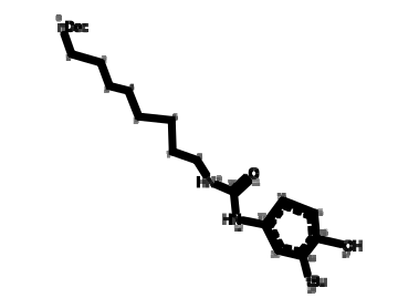 CCCCCCCCCCCCCCCCCCNC(=O)Nc1ccc(O)c(C(C)(C)C)c1